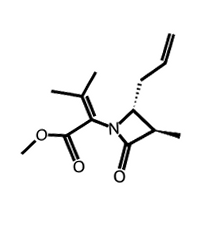 C=CC[C@@H]1[C@@H](C)C(=O)N1C(C(=O)OC)=C(C)C